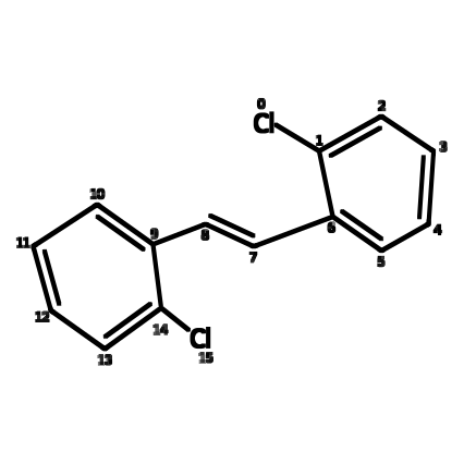 Clc1ccccc1/C=C/c1ccccc1Cl